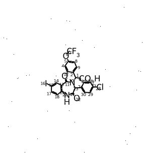 O=C(O)C(c1ccc(OC(F)(F)F)cc1)N1C(=O)c2cc(I)ccc2NC(=O)C1c1ccc(Cl)cc1